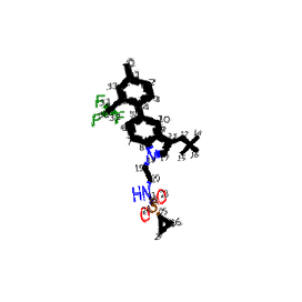 Cc1ccc(-c2ccc3c(c2)c(CC(C)(C)C)cn3CCNS(=O)(=O)C2CC2)c(C(F)(F)F)c1